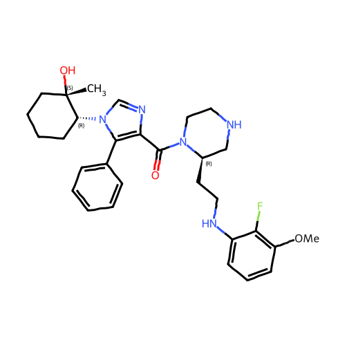 COc1cccc(NCC[C@@H]2CNCCN2C(=O)c2ncn([C@@H]3CCCC[C@]3(C)O)c2-c2ccccc2)c1F